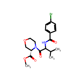 COC(=O)[C@@H]1COCCN1C(=O)C(NC(=O)c1ccc(Br)cc1)C(C)C